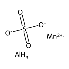 O=S(=O)([O-])[O-].[AlH3].[Mn+2]